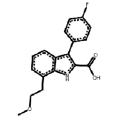 COCCc1cccc2c(-c3ccc(F)cc3)c(C(=O)O)[nH]c12